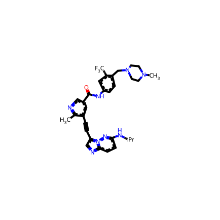 Cc1ncc(C(=O)Nc2ccc(CN3CCN(C)CC3)c(C(F)(F)F)c2)cc1C#Cc1cnc2ccc(NC(C)C)nn12